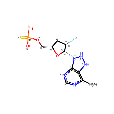 CNc1ncnc2c1NNN2[C@@H]1O[C@H](COP(O)(O)=S)C[C@@H]1F